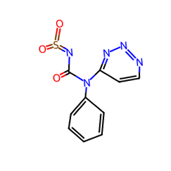 O=C(N=S(=O)=O)N(c1ccccc1)c1ccnnn1